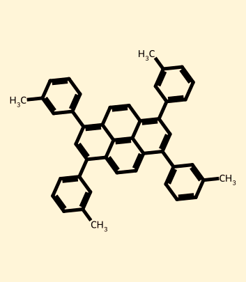 Cc1cccc(-c2cc(-c3cccc(C)c3)c3ccc4c(-c5cccc(C)c5)cc(-c5cccc(C)c5)c5ccc2c3c54)c1